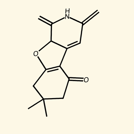 C=C1C=C2C3=C(CC(C)(C)CC3=O)OC2C(=C)N1